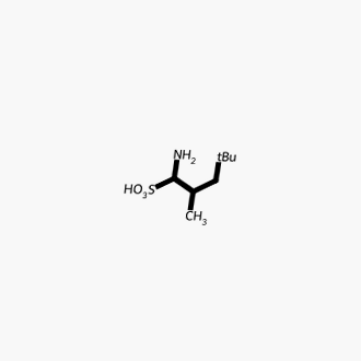 CC(CC(C)(C)C)C(N)S(=O)(=O)O